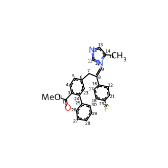 COC(=O)c1ccc(C/C(=C\n2cncc2C)c2ccc(F)cc2)cc1-c1ccccc1